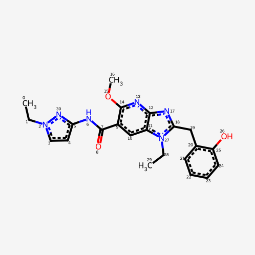 CCn1ccc(NC(=O)c2cc3c(nc2OC)nc(Cc2ccccc2O)n3CC)n1